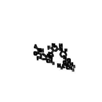 Cc1cc(F)c(C(=O)NC2CC2)cc1-n1cc(-c2cc(N[C@H]3CCN(C(=O)OC(C)(C)C)C[C@H]3F)cnc2F)cn1